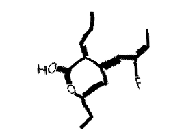 C\C=C(F)/C=C(\C=C(/C)CC)C(=C\CC)/C(=O)O